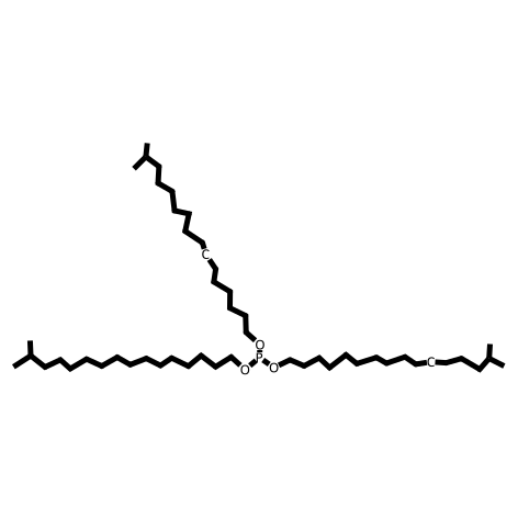 CC(C)CCCCCCCCCCCCCCOP(OCCCCCCCCCCCCCCC(C)C)OCCCCCCCCCCCCCCC(C)C